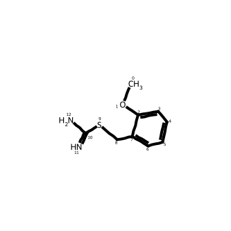 COc1ccccc1CSC(=N)N